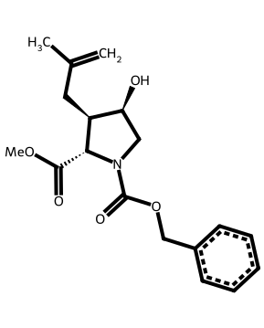 C=C(C)C[C@@H]1[C@@H](C(=O)OC)N(C(=O)OCc2ccccc2)C[C@@H]1O